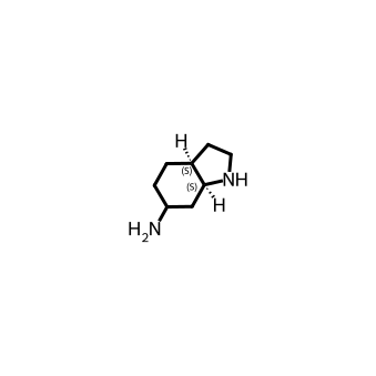 NC1CC[C@H]2CCN[C@H]2C1